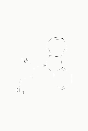 C=COC(C)n1c2ccccc2c2ccccc21